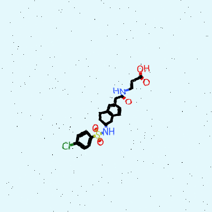 O=C(O)CCNC(=O)Cc1ccc2c(c1)CCC(NS(=O)(=O)c1ccc(Cl)cc1)C2